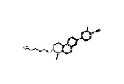 CCCCCC[C@@H]1CCc2c(ccc3cc(-c4ccc(C#N)c(F)c4)ccc23)[C@H]1F